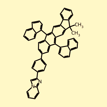 CC1(C)c2ccccc2-c2cc3c(-c4cccc5ccccc45)c4ccc(-c5ccc(-c6cn7ccccc7n6)cc5)cc4c(-c4cccc5ccccc45)c3cc21